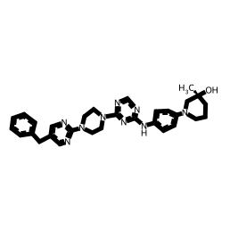 C[C@@]1(O)CCCN(c2ccc(Nc3ncnc(N4CCN(c5ncc(Cc6ccccc6)cn5)CC4)n3)cc2)C1